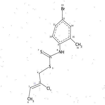 C/C=C(\Cl)CSC(=S)Nc1ccc(Br)cc1C